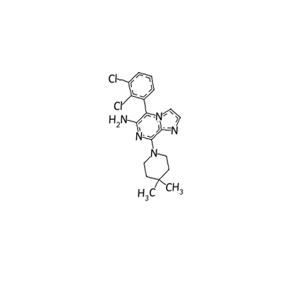 CC1(C)CCN(c2nc(N)c(-c3cccc(Cl)c3Cl)n3ccnc23)CC1